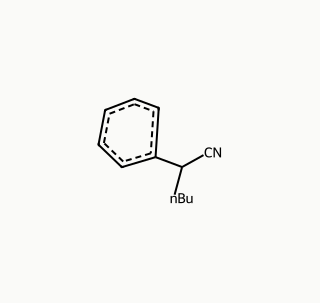 [CH2]CCCC(C#N)c1ccccc1